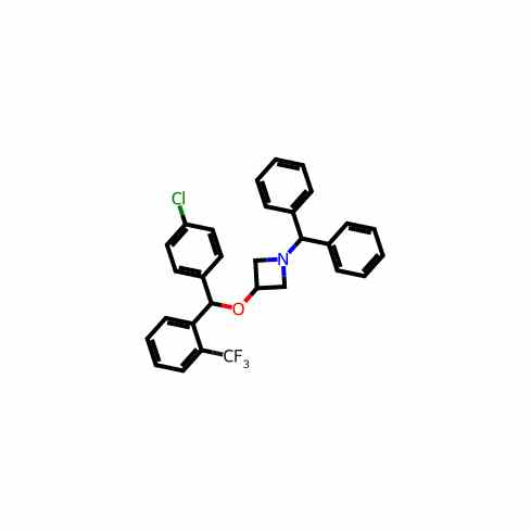 FC(F)(F)c1ccccc1C(OC1CN(C(c2ccccc2)c2ccccc2)C1)c1ccc(Cl)cc1